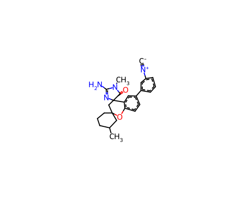 [C-]#[N+]c1cccc(-c2ccc3c(c2)C2(CC4(CCCC(C)C4)O3)N=C(N)N(C)C2=O)c1